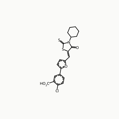 O=C(O)c1cc(-c2ccc(/C=C3\SC(=S)N(C4CCCCC4)C3=O)o2)ccc1Cl